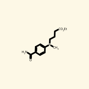 CCOC(=O)CCCN(C)c1ccc(C(N)=O)cc1